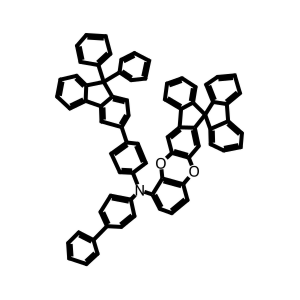 c1ccc(-c2ccc(N(c3ccc(-c4ccc5c(c4)-c4ccccc4C5(c4ccccc4)c4ccccc4)cc3)c3cccc4c3Oc3cc5c(cc3O4)C3(c4ccccc4-c4ccccc43)c3ccccc3-5)cc2)cc1